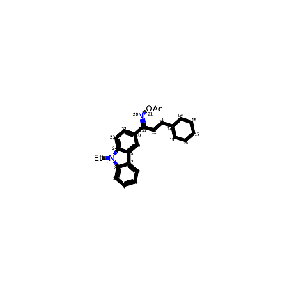 CCn1c2ccccc2c2cc(/C(CCC3CCCCC3)=N/OC(C)=O)ccc21